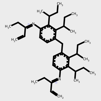 C=C/C(CC)=N\c1ccc(Cc2ccc(/N=C(/C=C)CC)c(C(C)CC)c2C(C)CC)c(C(C)CC)c1C(C)CC